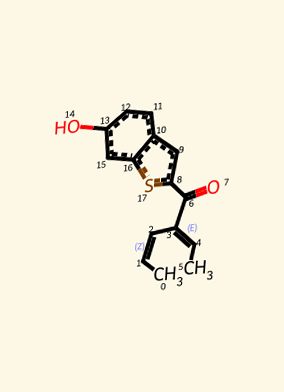 C/C=C\C(=C/C)C(=O)c1cc2ccc(O)cc2s1